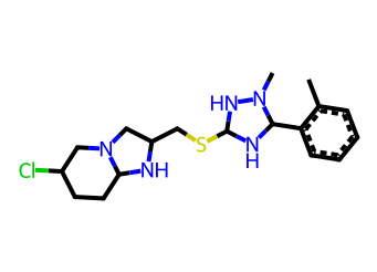 Cc1ccccc1C1NC(SCC2CN3CC(Cl)CCC3N2)NN1C